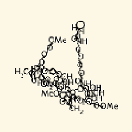 C=C1C[C@H]2[C@H](OCCOCCOCCOCCOC)N(C(=O)OCc3ccc(O[C@@H]4O[C@H](C(=O)O)[C@@H](O)[C@H](O)[C@H]4O)cc3)c3cc(OCCCCCOc4cc5c(cc4OC)C(=O)N4CC(=C)C[C@H]4[C@H](OCCOCCOCCOCCOC)N5C(=O)OCc4ccc(O[C@@H]5O[C@H](C(=O)O)[C@@H](O)[C@H](O)[C@H]5O)c(NC(=O)CCOCCOCCOCCOCCNC(=O)OCC5[C@H]6CCC#CCC[C@@H]56)c4)c(OC)cc3C(=O)N2C1